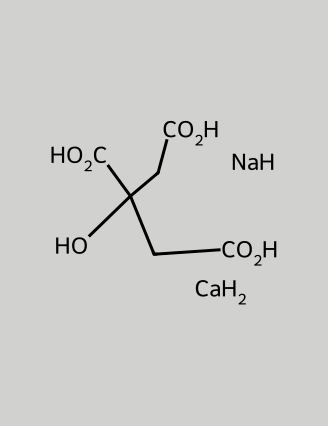 O=C(O)CC(O)(CC(=O)O)C(=O)O.[CaH2].[NaH]